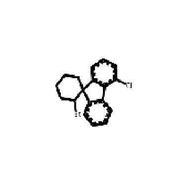 CCC1CCCCC12c1ccccc1-c1c(Cl)cccc12